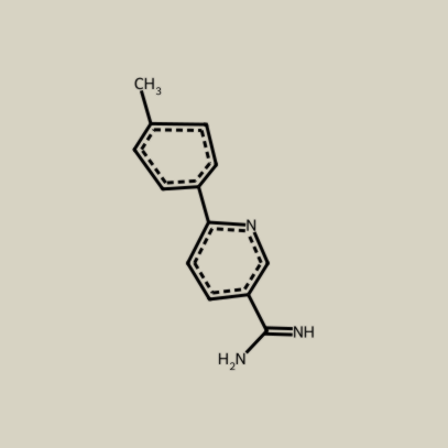 Cc1ccc(-c2ccc(C(=N)N)cn2)cc1